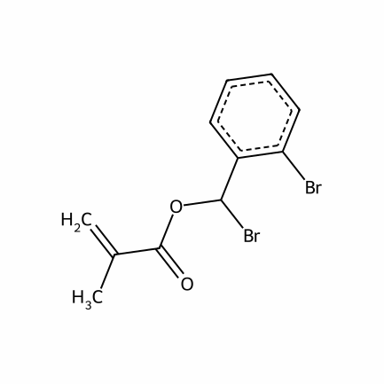 C=C(C)C(=O)OC(Br)c1ccccc1Br